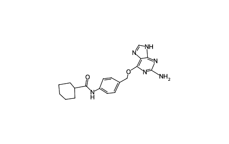 Nc1nc(OCc2ccc(NC(=O)C3CCCCC3)cc2)c2nc[nH]c2n1